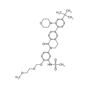 COCCOCOc1ccc(N2CCc3cc(-c4ccc(C(C)(C)C)cc4N4CCOCC4)ccc3C2=O)cc1NS(C)(=O)=O